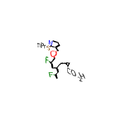 C=C(F)/C=C(\C=C(\F)COCc1cccnc1SCCC)CC1CC1C(=O)O